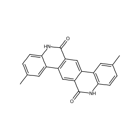 Cc1ccc2[nH]c(=O)c3cc4c(cc3c2c1)c(=O)[nH]c1ccc(C)cc14